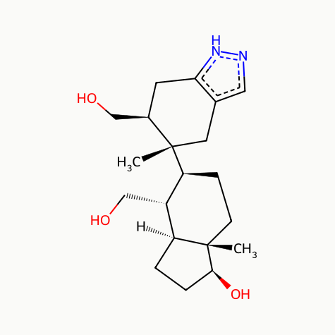 C[C@]1([C@H]2CC[C@]3(C)[C@@H](O)CC[C@H]3[C@@H]2CO)Cc2cn[nH]c2C[C@@H]1CO